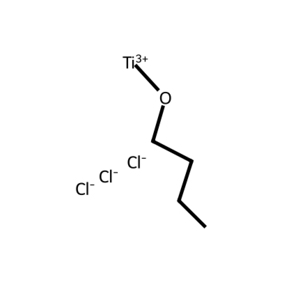 CCCC[O][Ti+3].[Cl-].[Cl-].[Cl-]